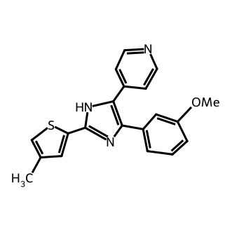 COc1cccc(-c2nc(-c3cc(C)cs3)[nH]c2-c2ccncc2)c1